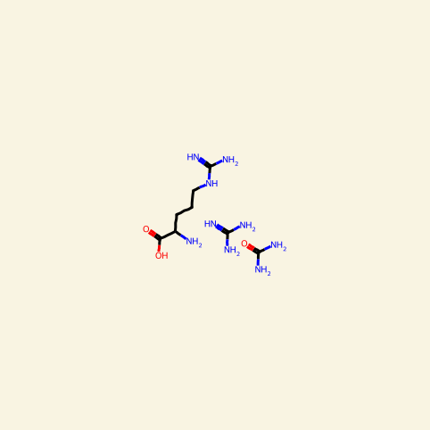 N=C(N)N.N=C(N)NCCCC(N)C(=O)O.NC(N)=O